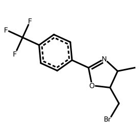 CC1N=C(c2ccc(C(F)(F)F)cc2)OC1CBr